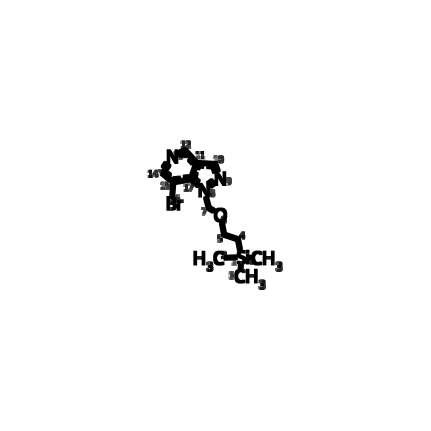 C[Si](C)(C)CCOCn1ncc2cncc(Br)c21